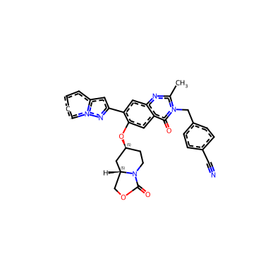 Cc1nc2cc(-c3cc4ccccn4n3)c(O[C@H]3CCN4C(=O)OC[C@@H]4C3)cc2c(=O)n1Cc1ccc(C#N)cc1